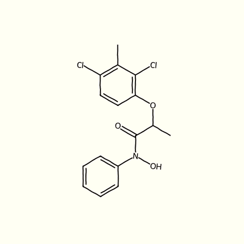 Cc1c(Cl)ccc(OC(C)C(=O)N(O)c2ccccc2)c1Cl